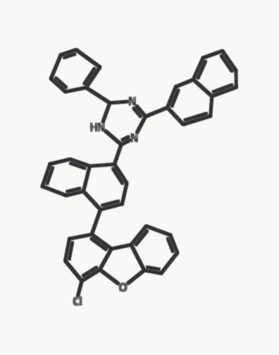 Clc1ccc(-c2ccc(C3=NC(c4ccc5ccccc5c4)=NC(c4ccccc4)N3)c3ccccc23)c2c1oc1ccccc12